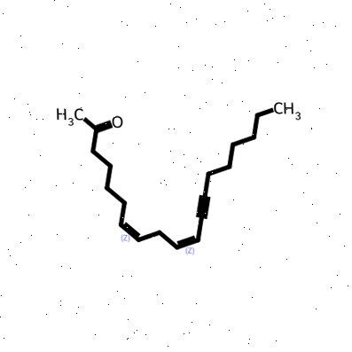 CCCCCCC#C/C=C\C/C=C\CCCCC(C)=O